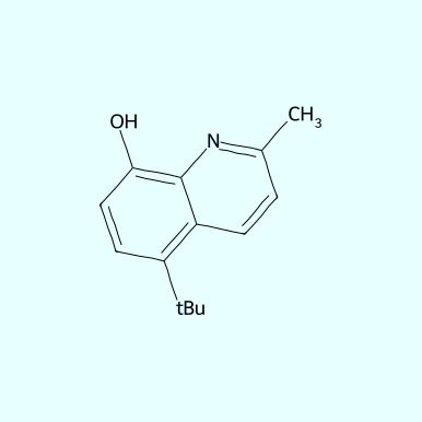 Cc1ccc2c(C(C)(C)C)ccc(O)c2n1